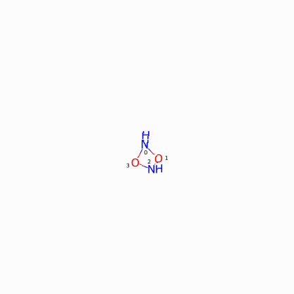 N1ONO1